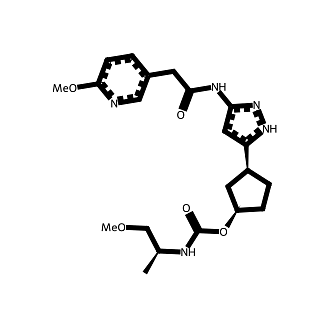 COC[C@H](C)NC(=O)O[C@@H]1CC[C@H](c2cc(NC(=O)Cc3ccc(OC)nc3)n[nH]2)C1